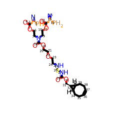 N#P(P)C(=O)OCCN(CCOC(=O)P(#N)P)C(=O)OCCOCCNSNC(=O)OC[C@@H]1[C@@H]2CCC#CCC[C@@H]21